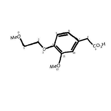 COCCOc1ccc(CC(=O)O)cc1OC